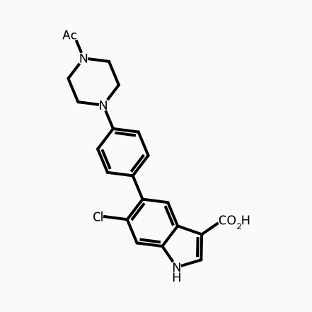 CC(=O)N1CCN(c2ccc(-c3cc4c(C(=O)O)c[nH]c4cc3Cl)cc2)CC1